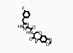 CN1C(=O)[C@@H](NC(=O)c2n[nH]c(Cc3cccc(F)c3)n2)COc2cc3ncoc3cc21